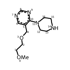 COCCOCc1cncnc1N1CCNCC1